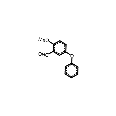 COc1ccc(Oc2ccccc2)cc1C=O